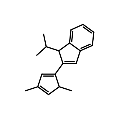 CC1=CC(C)C(C2=Cc3ccccc3C2C(C)C)=C1